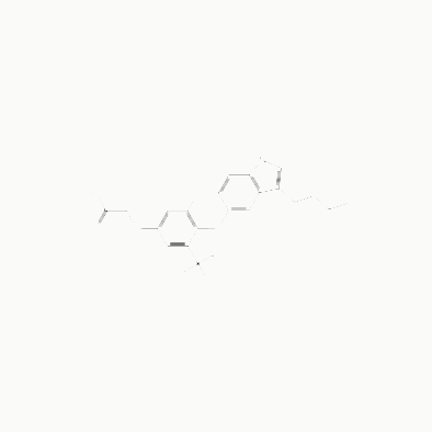 CCCCc1c[nH]c2ccc(Oc3c(Br)cc(OCC(=O)O)cc3C(F)(F)F)cc12